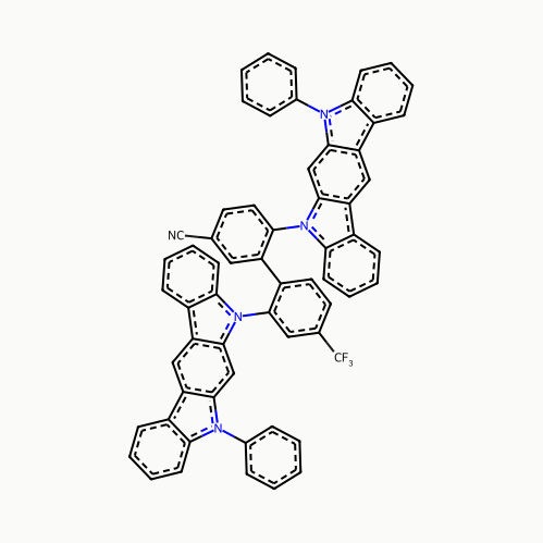 N#Cc1ccc(-n2c3ccccc3c3cc4c5ccccc5n(-c5ccccc5)c4cc32)c(-c2ccc(C(F)(F)F)cc2-n2c3ccccc3c3cc4c5ccccc5n(-c5ccccc5)c4cc32)c1